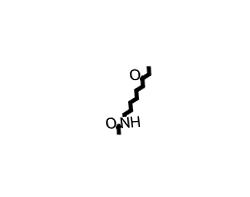 CCC(=O)CCCCCCNC(C)=O